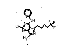 Cc1nn(CCOCC(F)(F)F)c2c(Nc3ccccn3)nc(Cl)nc12